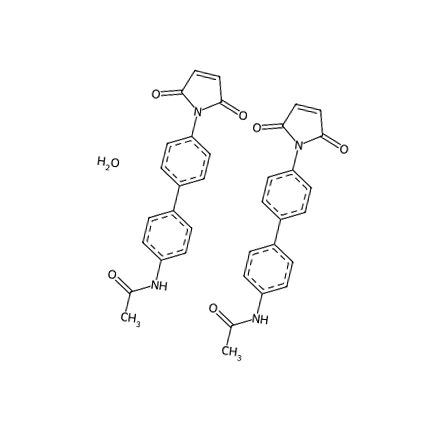 CC(=O)Nc1ccc(-c2ccc(N3C(=O)C=CC3=O)cc2)cc1.CC(=O)Nc1ccc(-c2ccc(N3C(=O)C=CC3=O)cc2)cc1.O